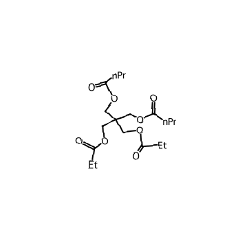 CCCC(=O)OCC(COC(=O)CC)(COC(=O)CC)COC(=O)CCC